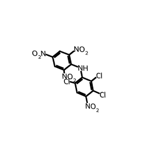 O=[N+]([O-])c1cc([N+](=O)[O-])c(Nc2c(Cl)cc([N+](=O)[O-])c(Cl)c2Cl)c([N+](=O)[O-])c1